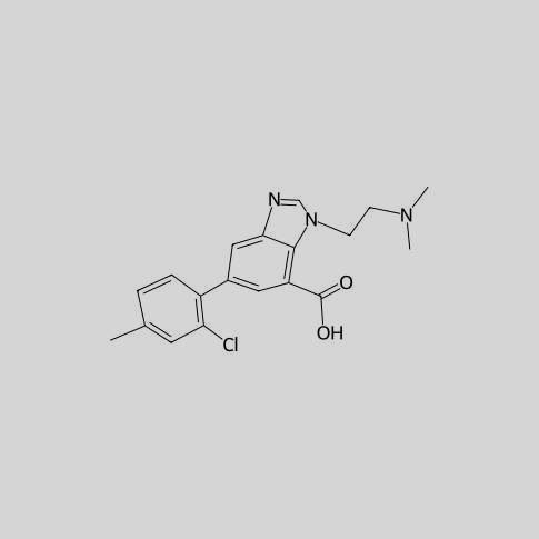 Cc1ccc(-c2cc(C(=O)O)c3c(c2)ncn3CCN(C)C)c(Cl)c1